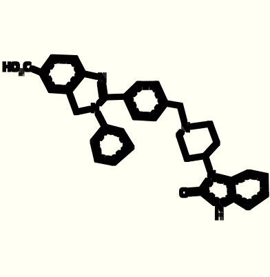 O=C(O)c1ccc2c(c1)CN(c1ccccc1)C(c1ccc(CN3CCC(n4c(=O)[nH]c5ccccc54)CC3)cc1)=N2